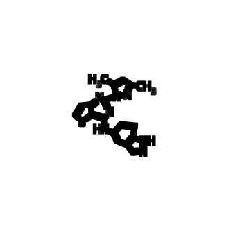 Cc1cc(C)n(-c2nc(Nc3ccc4[nH]ncc4c3)c3sccc3n2)n1